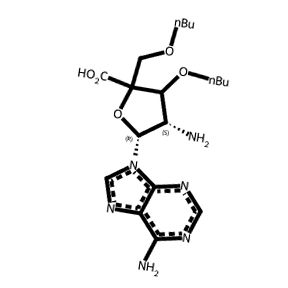 CCCCOCC1(C(=O)O)O[C@@H](n2cnc3c(N)ncnc32)[C@@H](N)C1OCCCC